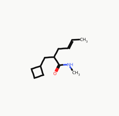 C/C=C/CC(CC1CCC1)C(=O)NC